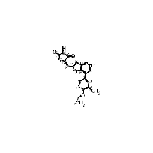 CCOc1ncc(-c2cncc3cc(C=C4SC(=O)NC4=O)oc23)cc1C